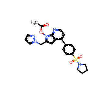 O=C(On1c(Cn2cccn2)cc2c(-c3ccc(S(=O)(=O)N4CCCC4)cc3)ccnc21)C(F)(F)F